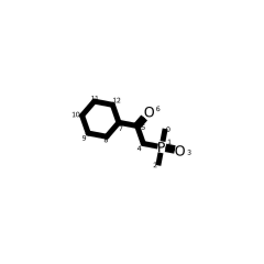 CP(C)(=O)CC(=O)C1CCCCC1